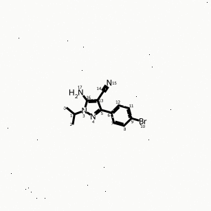 CC(C)n1nc(-c2ccc(Br)cc2)c(C#N)c1N